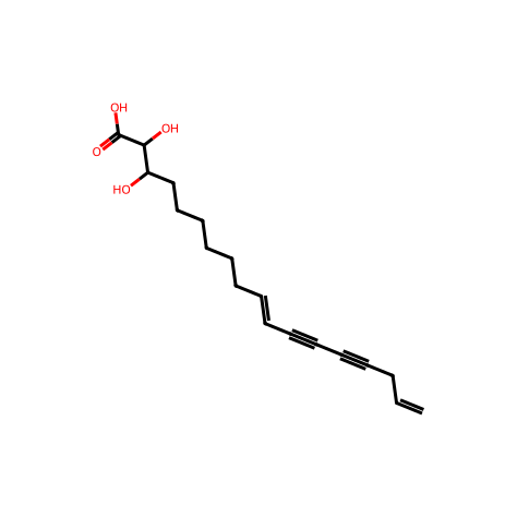 C=CCC#CC#CC=CCCCCCCC(O)C(O)C(=O)O